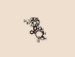 CCC1(O)CNCCc2c([nH]c3ccccc23)[C@@](C(=O)OC)(c2cc3c(cc2OC)N(C)C2C(O)(C(N)=O)[C@H](O)[C@]4(CC)C=CCN5CC[C@]32[C@@H]54)C[C@@H]2C[C@@H]2C1